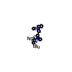 CC(C)(C)c1ccc2c(C#N)c(C#N)c(-n3c4ccccc4c4cc(-c5ccc6c7c8ccccc8ccc7n(-c7ccccc7)c6c5)ccc43)nc2c1